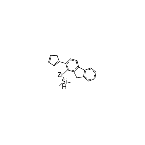 C[SiH](C)[Zr][c]1c(C2=CC=CC2)ccc2c1Cc1ccccc1-2